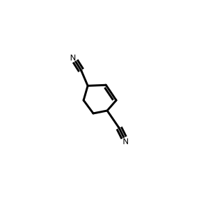 N#CC1C=CC(C#N)CC1